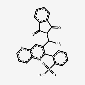 CC(c1cc2ncccc2nc1-c1ccccc1S(C)(=O)=O)N1C(=O)c2ccccc2C1=O